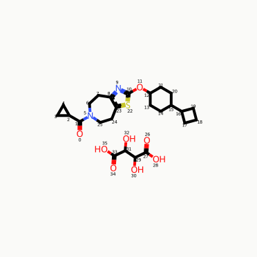 O=C(C1CC1)N1CCc2nc(OC3CCC(C4CCC4)CC3)sc2CC1.O=C(O)C(O)C(O)C(=O)O